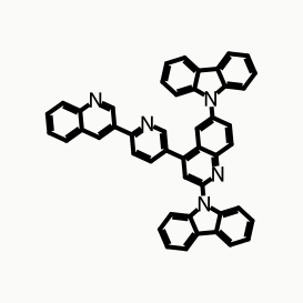 c1ccc2ncc(-c3ccc(-c4cc(-n5c6ccccc6c6ccccc65)nc5ccc(-n6c7ccccc7c7ccccc76)cc45)cn3)cc2c1